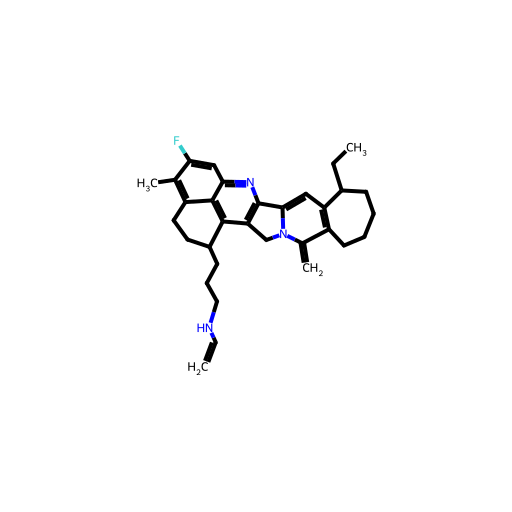 C=CNCCCC1CCc2c(C)c(F)cc3nc4c(c1c23)CN1C(=C)C2=C(C=C41)C(CC)CCCC2